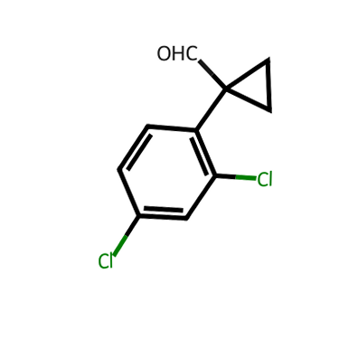 O=CC1(c2ccc(Cl)cc2Cl)CC1